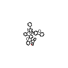 C1=CCC(C2=NC(c3ccccc3-c3cccc4c3Oc3ccccc3C43c4ccccc4-c4ccccc43)NC(c3ccc4c(c3)oc3ccccc34)=C2)C=C1